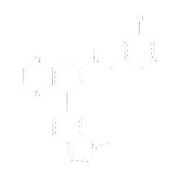 Cn1ccc2ccc(-c3cc(NCc4cncc(Br)c4)cc4nccnc34)cc21